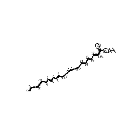 CCCCCC=CCC=CCCCCCCCC=CC(=O)O